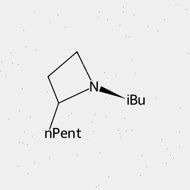 CCCCCC1CCN1[C@H](C)CC